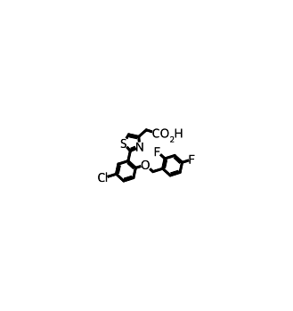 O=C(O)Cc1csc(-c2cc(Cl)ccc2OCc2ccc(F)cc2F)n1